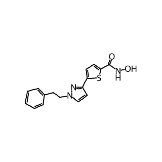 O=C(NO)c1ccc(-c2ccn(CCc3ccccc3)n2)s1